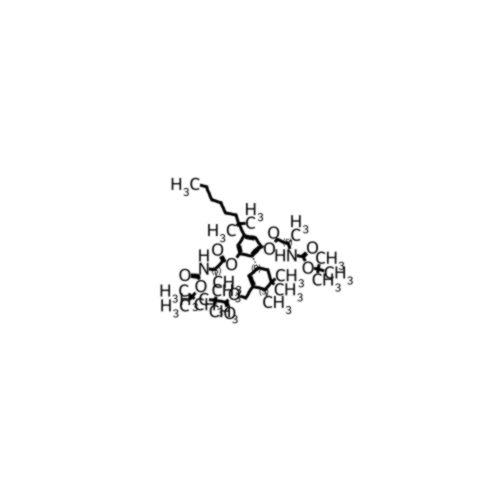 CCCCCCC(C)(C)c1cc(OC(=O)[C@H](C)NC(=O)OC(C)(C)C)c([C@H]2C=C(COC(=O)C(C)(C)C)[C@@H](C)C(C)(C)C2)c(OC(=O)[C@H](C)NC(=O)OC(C)(C)C)c1